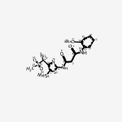 CSc1sc(NC(=O)CC(=O)Nc2ccccc2OCC(C)C)nc1C(N)S(C)(=O)=O